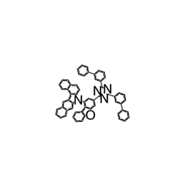 c1ccc(-c2cccc(-c3nc(-c4cccc(-c5ccccc5)c4)nc(-c4cc(-n5c6cc7ccccc7cc6c6c7ccccc7ccc65)c5c(c4)oc4ccccc45)n3)c2)cc1